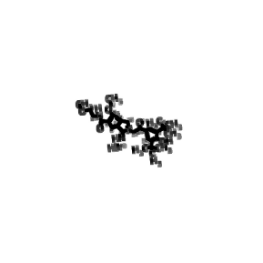 Br.CCOc1cc2c(cc1C(=O)NCCOC)C(=N)N(CC(=O)c1cc(C(C)(C)C)c(O)c(C(C)(C)C)c1)C2